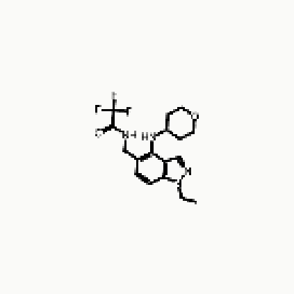 CCn1ncc2c(NC3CCOCC3)c(CNC(=O)C(F)(F)F)ccc21